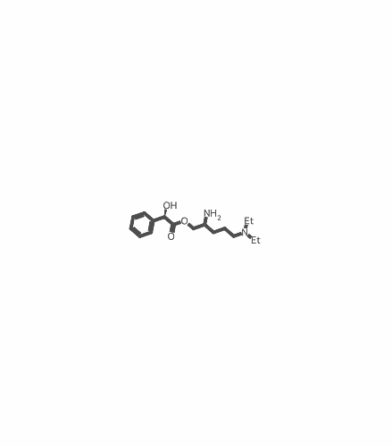 CCN(CC)CCCC(N)COC(=O)[C@H](O)c1ccccc1